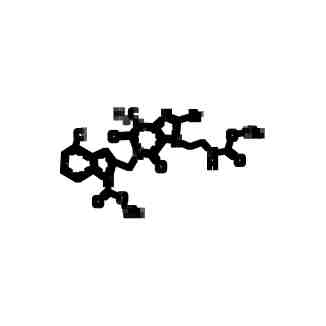 Cn1c(=O)n(Cc2cc3c(Cl)cccc3n2C(=O)OC(C)(C)C)c(=O)c2c1nc(Br)n2CCNC(=O)OC(C)(C)C